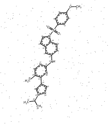 COc1ccc(S(=O)(=O)n2ccc3cc(Nc4ncc(C)c(-c5cnn(C(C)C)c5)n4)ccc32)cc1